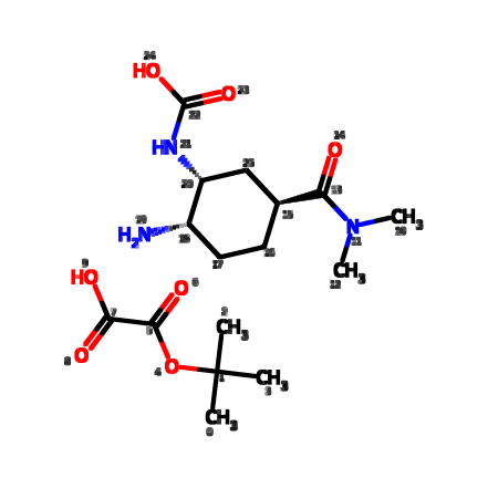 CC(C)(C)OC(=O)C(=O)O.CN(C)C(=O)[C@H]1CC[C@H](N)[C@H](NC(=O)O)C1